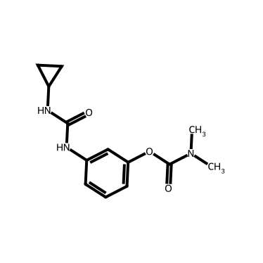 CN(C)C(=O)Oc1cccc(NC(=O)NC2CC2)c1